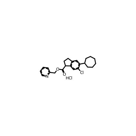 Cl.O=C(OCc1ccccn1)C1CCc2cc(C3CCCCCC3)c(Cl)cc21